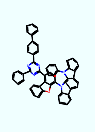 c1ccc(-c2ccc(-c3nc(-c4ccccc4)nc(-c4ccc(-n5c6ccccc6c6ccc7c8ccccc8n(-c8ccccc8)c7c65)c5oc6ccccc6c45)n3)cc2)cc1